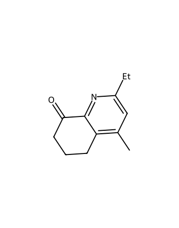 CCc1cc(C)c2c(n1)C(=O)CCC2